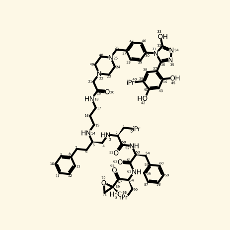 CC(C)C[C@H](NC[C@@H](CCc1ccccc1)NCCCNC(=O)CN1CCN(Cc2ccc(-n3c(O)nnc3-c3cc(C(C)C)c(O)cc3O)cc2)CC1)C(=O)N[C@@H](Cc1ccccc1)C(=O)N[C@@H](CC(C)C)C(=O)[C@]1(C)CO1